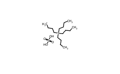 CCC[CH2][Ti]([CH2]CCC)([CH2]CCC)[CH2]CCC.O=S(=O)(O)O